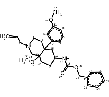 C=CCN1CCC2(c3cccc(OC)c3)CC(NC(=O)OCc3ccccc3)CCC2(OC)C1